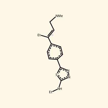 CCNc1nnc(-c2ccc(/C(=C/CNC)CC)cc2)s1